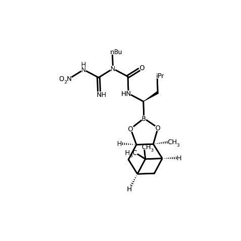 [CH2]CCCN(C(=N)N[N+](=O)[O-])C(=O)N[C@@H](CC(C)C)B1O[C@@H]2C[C@@H]3C[C@@H](C3(C)C)[C@]2(C)O1